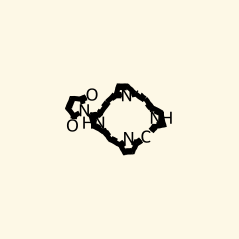 O=C1C=CC(=O)N1c1cc2cc3nc(cc4ccc(cc5nc(cc1[nH]2)C=C5)[nH]4)C=C3